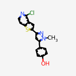 Cn1nc(-c2cc3c(Cl)nccc3s2)cc1-c1ccc(O)cc1